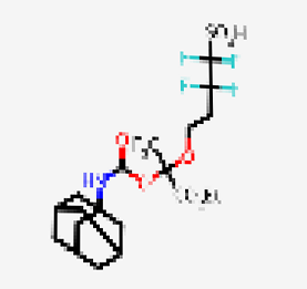 CCOC(=O)C(OCCC(F)(F)C(F)(F)S(=O)(=O)O)(OC(=O)NC12CC3CC(CC(C3)C1)C2)C(F)(F)F